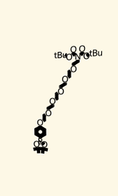 CC(C)(C)OC(=O)N(CCOCCOCCOCCOCCOCCOc1ccc(B2OC(C)(C)C(C)(C)O2)cc1)C(=O)OC(C)(C)C